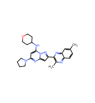 Cc1ccc2nc(C)c(-c3cc4nc(N5CCCC5)cc(NC5CCOCC5)n4n3)nc2c1